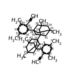 C#Cc1c(C)cc(C)cc1C12CC3(C)CC(C)(C1)CC(C14CC5(C)CC(C)(CC(c6cc(C)cc(C)c6C#C)(C5)C1)C4)(C3)C2